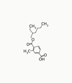 CCCCC(CC)COC(=O)c1ccc(C(=O)O)cc1C